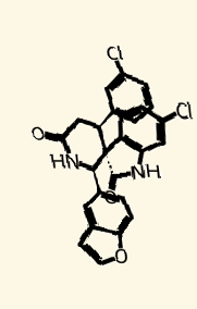 O=C1C[C@@H](c2cccc(Cl)c2)[C@]2(C(=O)Nc3cc(Cl)ccc32)[C@@H](c2ccc3occc3c2)N1